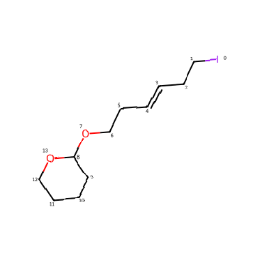 ICCC=CCCOC1CCCCO1